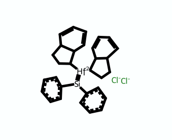 C1=CC2CC[CH]([Hf+2]([CH]3CCC4C=CC=CC43)=[Si](c3ccccc3)c3ccccc3)C2C=C1.[Cl-].[Cl-]